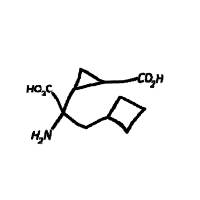 NC(CC1CCC1)(C(=O)O)C1CC1C(=O)O